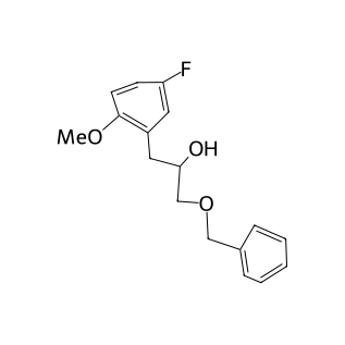 COc1ccc(F)cc1CC(O)COCc1ccccc1